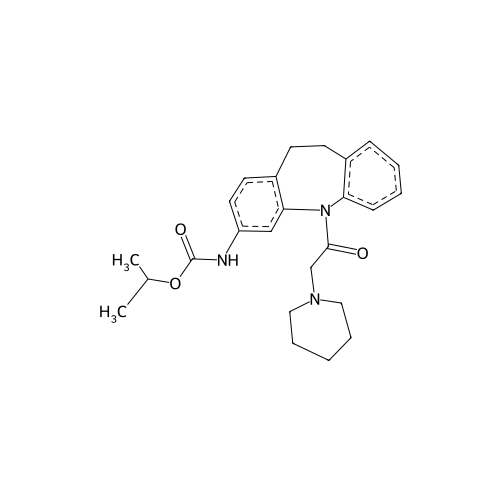 CC(C)OC(=O)Nc1ccc2c(c1)N(C(=O)CN1CCCCC1)c1ccccc1CC2